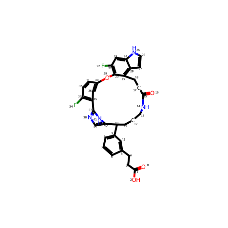 O=C(O)CCc1cccc(C2CCCNC(=O)CCc3c(c(F)cc4[nH]ccc34)Oc3ccc(F)c(c3)-c3ncc2[nH]3)c1